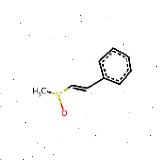 C[S+]([O-])C=Cc1ccccc1